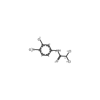 O=C(Nc1ccc([N+](=O)[O-])c(Cl)c1)C(Cl)Cl